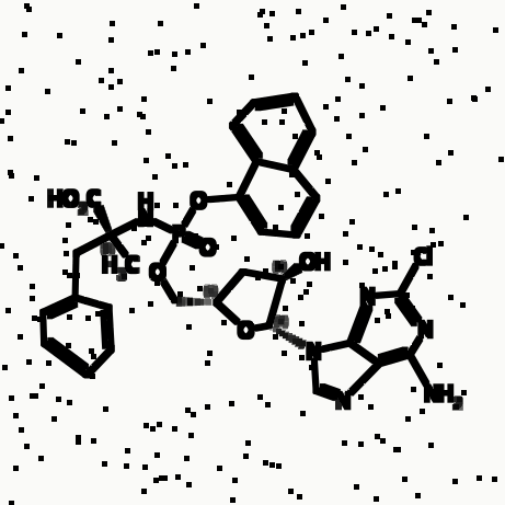 C[C@](Cc1ccccc1)(NP(=O)(OC[C@@H]1C[C@@H](O)[C@H](n2cnc3c(N)nc(Cl)nc32)O1)Oc1cccc2ccccc12)C(=O)O